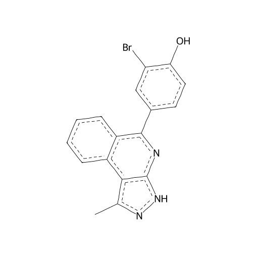 Cc1n[nH]c2nc(-c3ccc(O)c(Br)c3)c3ccccc3c12